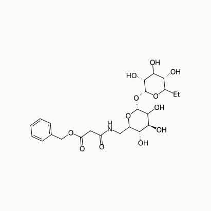 CCC1O[C@H](O[C@H]2OC(CNC(=O)CC(=O)OCc3ccccc3)[C@@H](O)[C@H](O)C2O)[C@H](O)C(O)[C@@H]1O